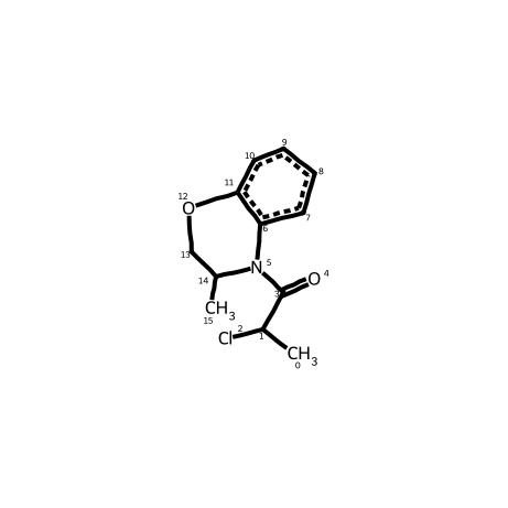 CC(Cl)C(=O)N1c2ccccc2OCC1C